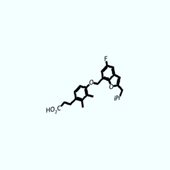 Cc1c(CCC(=O)O)ccc(OCc2cc(F)cc3cc(CC(C)C)oc23)c1C